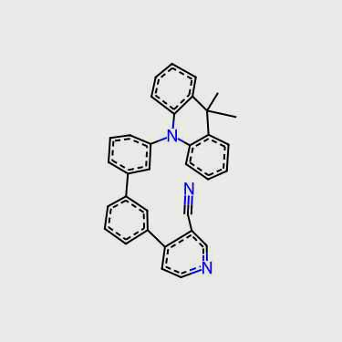 CC1(C)c2ccccc2N(c2cccc(-c3cccc(-c4ccncc4C#N)c3)c2)c2ccccc21